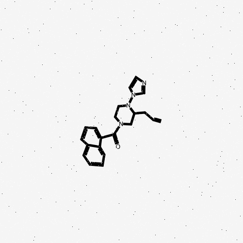 C=CCC1CN(C(=O)c2cccc3ccccc23)CCN1n1ccnc1